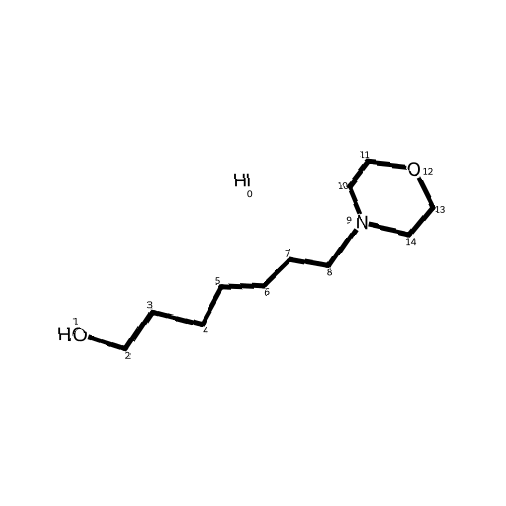 I.OCCCCCCCN1CCOCC1